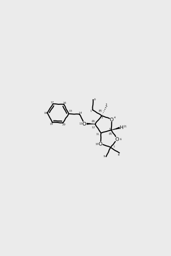 CC[C@@]1(C)O[C@@H]2OC(C)(C)OC2[C@H]1OCc1ccccc1